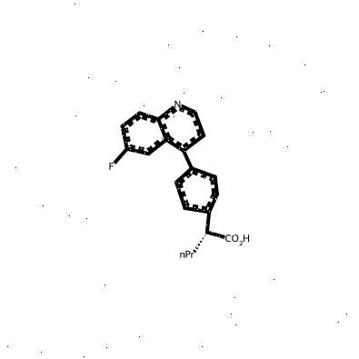 CCC[C@@H](C(=O)O)c1ccc(-c2ccnc3ccc(F)cc23)cc1